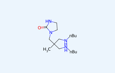 CCCCNCC(C)(CNCCCC)CN1CCNC1=O